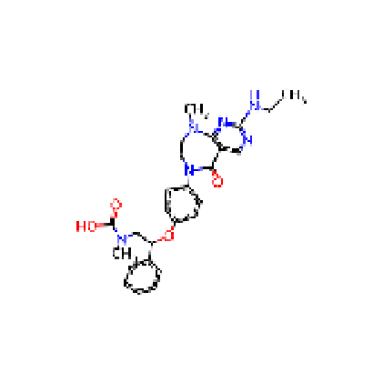 CCNc1ncc2c(n1)N(C)CCN(c1ccc(OC(CN(C)C(=O)O)c3ccccc3)cc1)C2=O